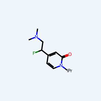 CC(C)n1ccc(C(F)CN(C)C)cc1=O